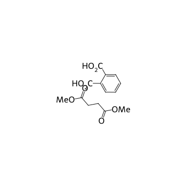 COC(=O)CCC(=O)OC.O=C(O)c1ccccc1C(=O)O